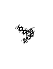 CC(=O)c1ccc(-c2ccc3nc(C(c4nnc(CC5SC(=O)NC5=O)o4)S(C)(=O)=O)sc3c2)cc1